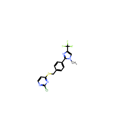 Cn1cc(C(F)(F)F)nc1-c1ccc(CSc2ccnc(Cl)n2)cc1